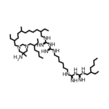 CCCCC(CC)CNC(=N)NC(=N)NCCCCCCNC(=N)NC(=N)NCC(CC)CCCCC(C)CCC(CC)CN1CN(CC(CC)CCCC)CC(C)(N)C1